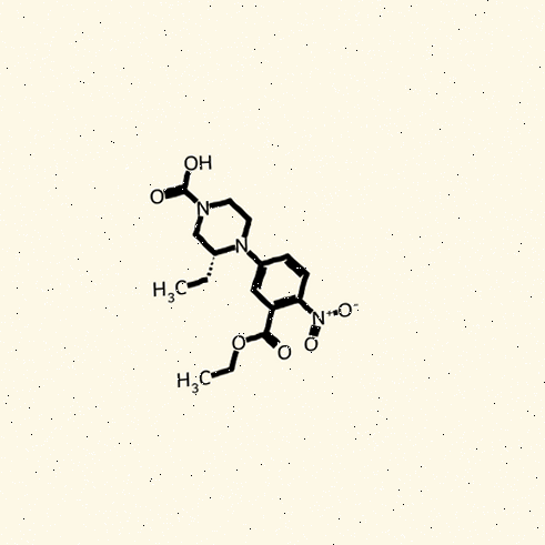 CCOC(=O)c1cc(N2CCN(C(=O)O)C[C@H]2CC)ccc1[N+](=O)[O-]